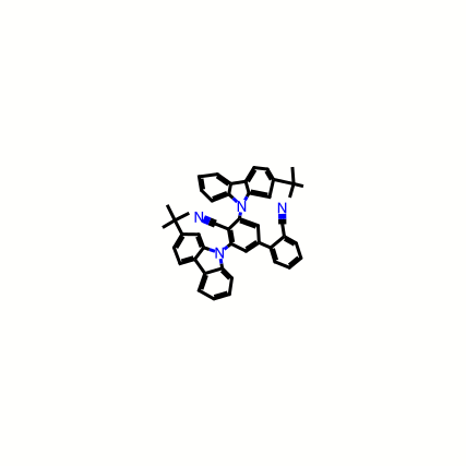 CC(C)(C)c1ccc2c3ccccc3n(-c3cc(-c4ccccc4C#N)cc(-n4c5ccccc5c5ccc(C(C)(C)C)cc54)c3C#N)c2c1